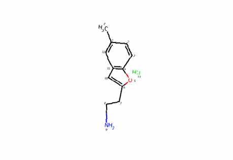 Cc1ccc2oc(CCN)cc2c1.Cl